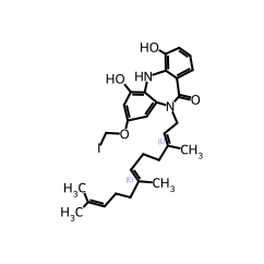 CC(C)=CCC/C(C)=C/CC/C(C)=C/CN1C(=O)c2cccc(O)c2Nc2c(O)cc(OCI)cc21